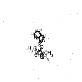 CN(C)C(OOn1nnc2cccnc21)=[N+](C)C